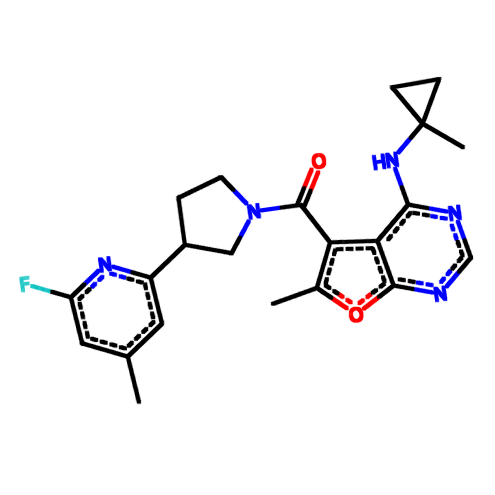 Cc1cc(F)nc(C2CCN(C(=O)c3c(C)oc4ncnc(NC5(C)CC5)c34)C2)c1